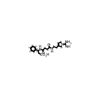 N=C(N)N1CC=C(CCNC(=O)CCC(=O)NC(CC(=O)O)c2ccccc2)C1